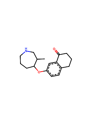 CC1CNCCCC1Oc1ccc2c(c1)C(=O)CCC2